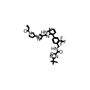 C=CC(=O)N1CCC(n2cc(-c3nc4c(-c5ccc(CNC(=O)c6nc(C(C)(C)C)no6)c(C(F)(F)F)c5)ccnc4[nH]3)cn2)C1